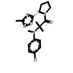 Cc1noc([C@@H]2CCCN2C(=O)C(C)(C)N(C)c2ccc(Cl)cc2)n1